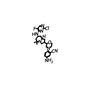 CC1(C)C[C@H](Nc2nc(Cl)ncc2F)C[C@@H]2CC(C3CN(c4ccc(N)cc4C#N)CCO3)CN21